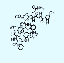 CC(C)C[C@H](NC(=O)[C@H](Cc1ccccc1)NC(=O)[C@H](CC(=O)O)NC(=O)[C@H](CCC(N)=O)NC(=O)CNC(=O)[C@@H]1C[C@@H](O)CN1)C(=O)N[C@@H](C)C(=O)NCC(=O)N1CCCC[C@H]1C(=O)N[C@@H](CCCCN)C(=O)O